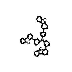 c1cc(-c2cccc3c2oc2ccccc23)cc(N(c2ccc(-c3ccc4oc5ccccc5c4c3)cc2)c2cccc(-c3cccc4c3sc3ccccc34)c2)c1